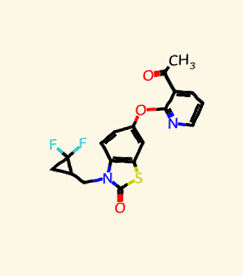 CC(=O)c1cccnc1Oc1ccc2c(c1)sc(=O)n2CC1CC1(F)F